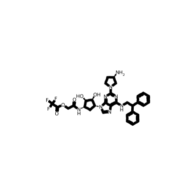 N[C@@H]1CCN(c2nc(NCC(c3ccccc3)c3ccccc3)c3ncn([C@@H]4C[C@H](NC(=O)COC(=O)C(F)(F)F)[C@@H](O)[C@H]4O)c3n2)C1